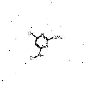 CCNc1cc(Cl)nc(OC)n1